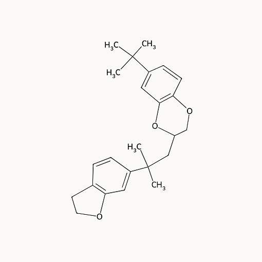 CC(C)(C)c1ccc2c(c1)OC(CC(C)(C)c1ccc3c(c1)OCC3)CO2